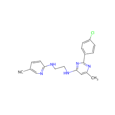 Cc1cc(NCCNc2ccc(C#N)cn2)nc(-c2ccc(Cl)cc2)n1